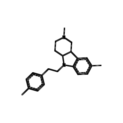 Cc1ccc(CCN2c3ccc(C)cc3C3CN(C)CCC32)cc1